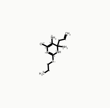 C=CCC1(N)NC(SCCC)=NC(Cl)=C1N